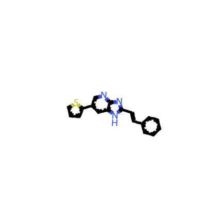 C(=Cc1nc2ncc(-c3cccs3)cc2[nH]1)c1ccccc1